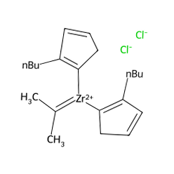 CCCCC1=[C]([Zr+2]([C]2=C(CCCC)C=CC2)=[C](C)C)CC=C1.[Cl-].[Cl-]